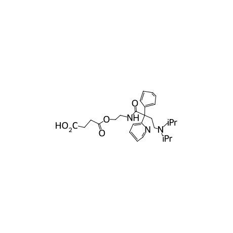 CC(C)N(CCC(C(=O)NCCOC(=O)CCC(=O)O)(c1ccccc1)c1ccccn1)C(C)C